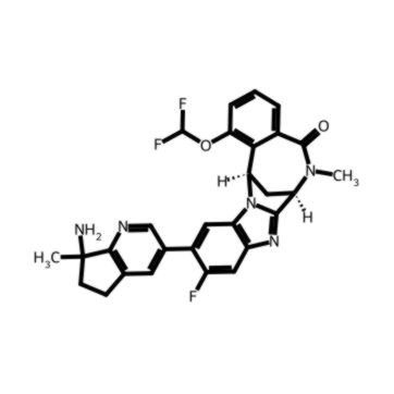 CN1C(=O)c2cccc(OC(F)F)c2[C@H]2C[C@@H]1c1nc3cc(F)c(-c4cnc5c(c4)CCC5(C)N)cc3n12